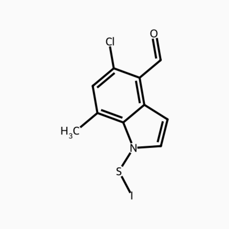 Cc1cc(Cl)c(C=O)c2ccn(SI)c12